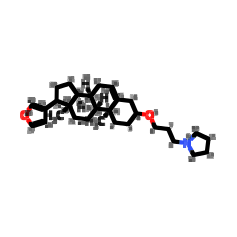 C[C@]12CCC(OCCCN3CCCC3)CC1=CC[C@@H]1[C@H]2CC[C@]2(C)C(c3ccoc3)CC[C@@H]12